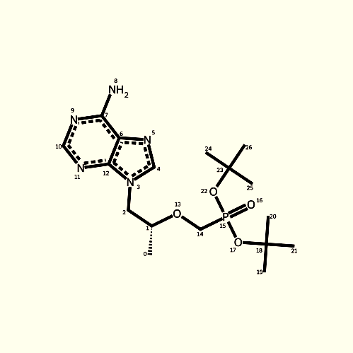 C[C@H](Cn1cnc2c(N)ncnc21)OCP(=O)(OC(C)(C)C)OC(C)(C)C